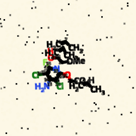 C=CC.C=CC.C=CC.COCCO.Nc1c(Cl)c(F)nc(OCC(=O)O)c1Cl